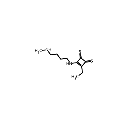 CCc1c(NCCCCNC)c(=S)c1=S